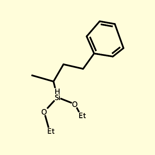 CCO[SiH](OCC)C(C)CCc1ccccc1